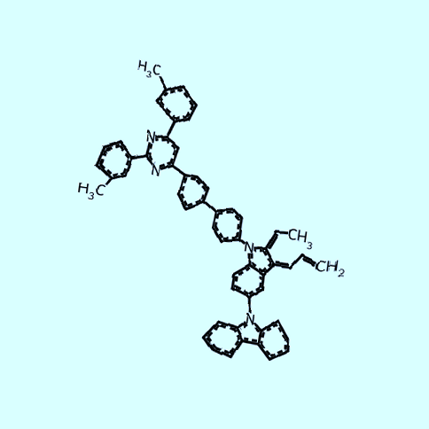 C=C/C=c1\c(=C/C)n(-c2ccc(-c3ccc(-c4cc(-c5cccc(C)c5)nc(-c5cccc(C)c5)n4)cc3)cc2)c2ccc(-n3c4ccccc4c4ccccc43)cc12